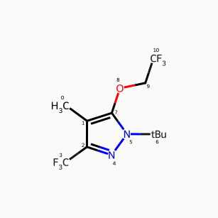 Cc1c(C(F)(F)F)nn(C(C)(C)C)c1OCC(F)(F)F